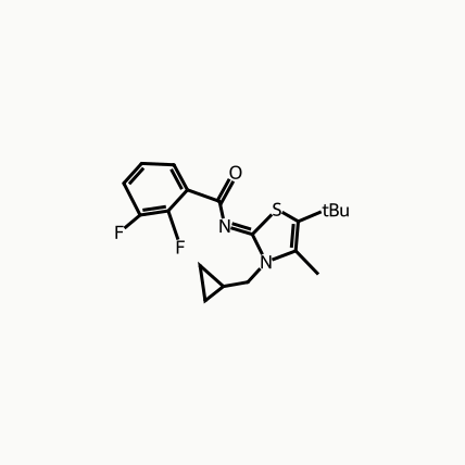 Cc1c(C(C)(C)C)s/c(=N\C(=O)c2cccc(F)c2F)n1CC1CC1